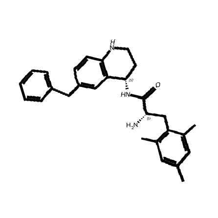 Cc1cc(C)c(C[C@H](N)C(=O)N[C@H]2CCNc3ccc(Cc4ccccc4)cc32)c(C)c1